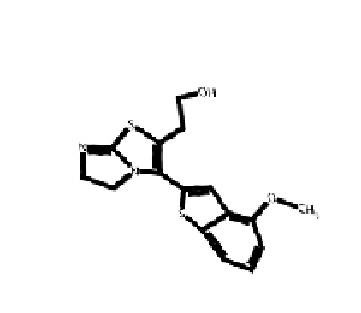 COc1cccc2sc(C3=C(CCO)SC4=NCCN43)cc12